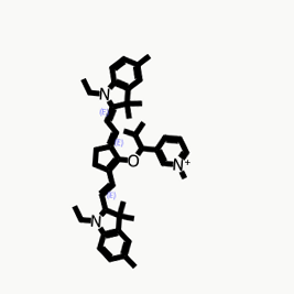 CCN1/C(=C/C=C2\CCC(/C=C/C3N(CC)c4ccc(C)cc4C3(C)C)=C2OC(c2ccc[n+](C)c2)C(C)C)C(C)(C)c2cc(C)ccc21